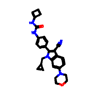 N#Cc1c(-c2ccc(NC(=O)NC3CCC3)cc2)n(CC2CC2)c2cc(N3CCOCC3)ccc12